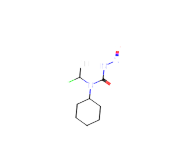 CC(Cl)N(C(=O)NN=O)C1CCCCC1